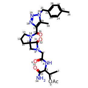 CC(=O)OC(C)C(NC(=O)CN1CC2(CCCN2C(=O)c2nnn(Cc3ccc(C)cc3)c2C)C1=O)C(N)=O